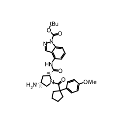 COc1ccc(C2(C(=O)N3C[C@H](N)C[C@@H]3C(=O)Nc3cccc4c3cnn4C(=O)OC(C)(C)C)CCCC2)cc1